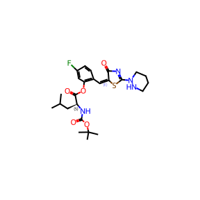 CC(C)C[C@H](NC(=O)OC(C)(C)C)C(=O)Oc1cc(F)ccc1/C=C1/SC(N2CCCCN2)=NC1=O